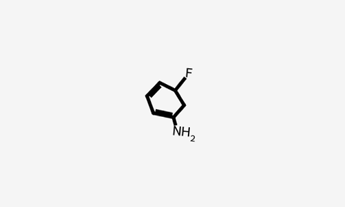 NC1=CC=CC(F)C1